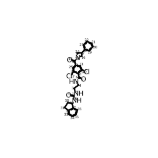 O=C(NCCNC(=O)c1c(Cl)cc(C(=O)N2CC(c3ccccc3)C2)cc1Cl)N[C@@H]1CCc2ccccc21